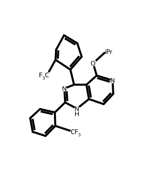 CC(C)Oc1nccc2c1C(c1ccccc1C(F)(F)F)N=C(c1ccccc1C(F)(F)F)N2